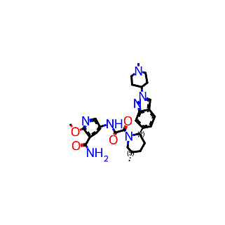 COc1ncc(NC(=O)C(=O)N2C[C@@H](C)CC[C@@H]2c2ccc3cn(C4CCN(C)CC4)nc3c2)cc1C(N)=O